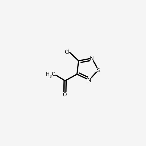 CC(=O)c1nsnc1Cl